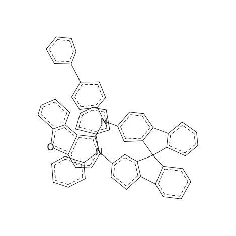 c1ccc(-c2ccc(N(c3ccc4c(c3)C3(c5ccccc5-c5ccc(N(c6ccccc6)c6ccccc6)cc53)c3ccccc3-4)c3cccc4oc5ccccc5c34)cc2)cc1